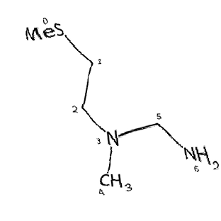 CSCCN(C)CN